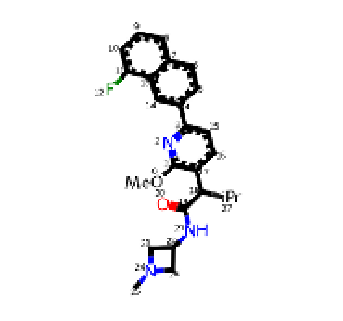 COc1nc(-c2ccc3cccc(F)c3c2)ccc1C(C(=O)NC1CN(C)C1)C(C)C